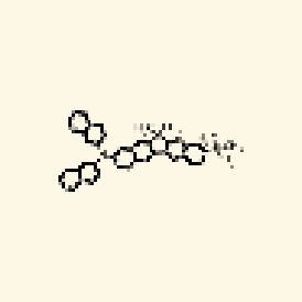 CC1(C)c2cc3cc(N(c4ccc5ccccc5c4)c4ccc5ccccc5c4)ccc3cc2-c2cc3ccc([Si](C)(C)C)cc3cc21